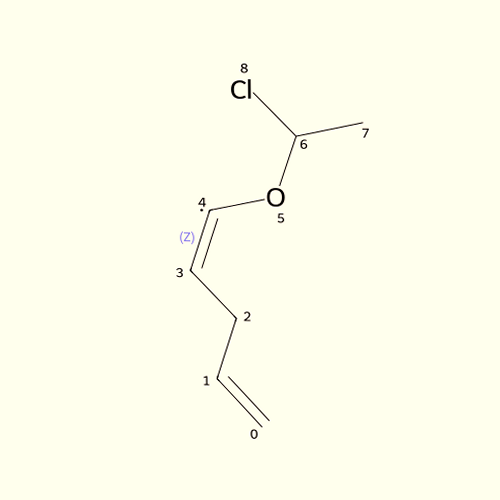 C=CC/C=[C]\OC(C)Cl